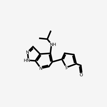 CC(C)Nc1c(-c2ccc(C=O)s2)cnc2[nH]ncc12